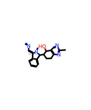 C=N/C=C1/c2ccccc2C(C2CCc3nc(C)ncc3C2O)N1C